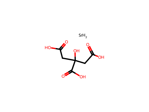 O=C(O)CC(O)(CC(=O)O)C(=O)O.[SrH2]